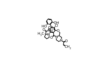 C=CC(=O)N1CCN2C(=O)c3c(N4CCC[C@@]4(C)C(=O)NC)nc(-c4c(O)cccc4O)c(Cl)c3OCC2C1